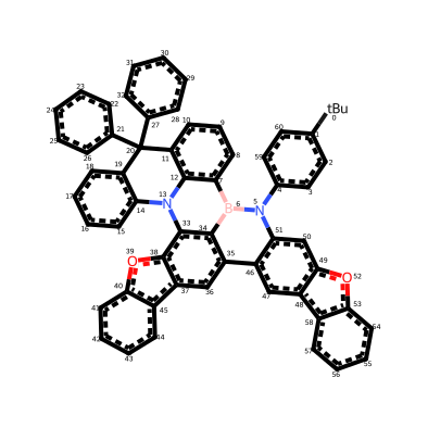 CC(C)(C)c1ccc(N2B3c4cccc5c4N(c4ccccc4C5(c4ccccc4)c4ccccc4)c4c3c(cc3c4oc4ccccc43)-c3cc4c(cc32)oc2ccccc24)cc1